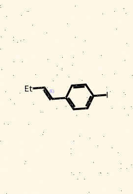 [CH2]C/C=C/c1ccc(I)cc1